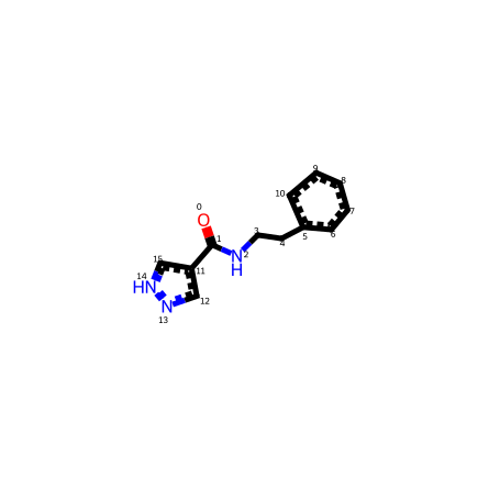 O=C(NCCc1ccccc1)c1cn[nH]c1